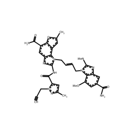 C#CCn1nc(C)cc1C(=O)Nc1nc2cc(C(N)=O)c3oc(C)cc3c2n1C/C=C/Cn1c(NC)nc2cc(C(N)=O)cc(OC)c21